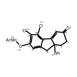 CCCC12CCC(=O)C=C1c1c(cc(ONC(C)=O)c(Cl)c1Cl)C2